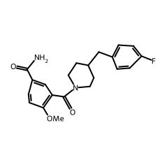 COc1ccc(C(N)=O)cc1C(=O)N1CCC(Cc2ccc(F)cc2)CC1